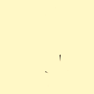 O=C(O)CCC/C=C\C[C@H]1[C@H]2CC[C@H](C2)[C@H]1OCCC1CCCC1